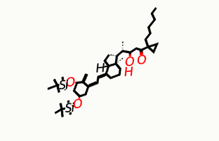 C=C1/C(=C\C=C2/CCC[C@]3(C)[C@@H]([C@H](C)C(O)CC(=O)C4(CCCCCC)CC4)CC[C@@H]23)C[C@@H](O[Si](C)(C)C(C)(C)C)C[C@@H]1O[Si](C)(C)C(C)(C)C